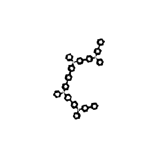 C1=CCCC(N(c2ccc(-c3ccc(-c4ccc(N(C5=CC=C(c6ccc(N(c7ccccc7)c7ccc(-c8ccccc8)cc7)cc6)CC5)C5C=CC=CC5)cc4)cc3)cc2)c2ccc(-c3ccc(N(c4ccccc4)c4ccc(-c5ccccc5)cc4)cc3)cc2)=C1